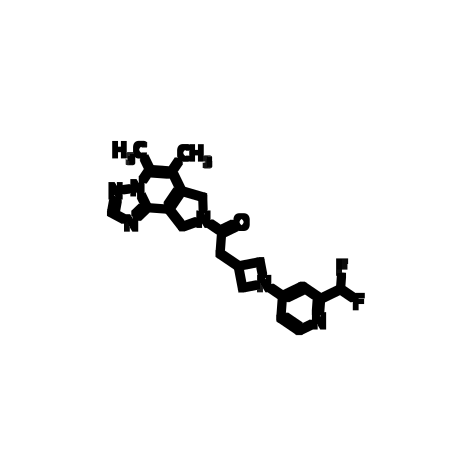 Cc1c2c(c3ncnn3c1C)CN(C(=O)CC1CN(c3ccnc(C(F)F)c3)C1)C2